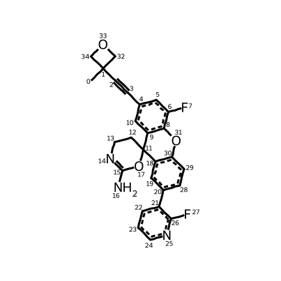 CC1(C#Cc2cc(F)c3c(c2)C2(CCN=C(N)O2)c2cc(-c4cccnc4F)ccc2O3)COC1